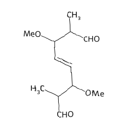 COC(C=CC(OC)C(C)C=O)C(C)C=O